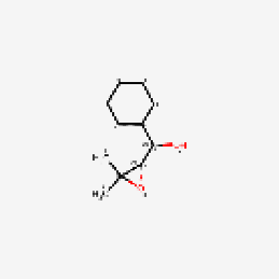 CC1(C)O[C@H]1[C@H](O)C1CCCCC1